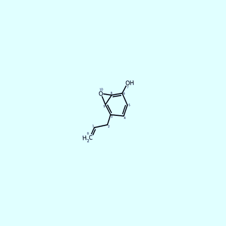 C=CCc1ccc(O)c2c1O2